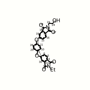 CCN1C(=O)c2ccc(Oc3ccc(Oc4ccc5c(c4)C(=O)N(CCO)C5=O)cc3)cc2C1=O